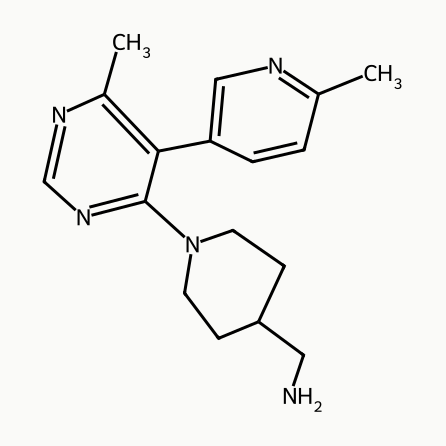 Cc1ccc(-c2c(C)ncnc2N2CCC(CN)CC2)cn1